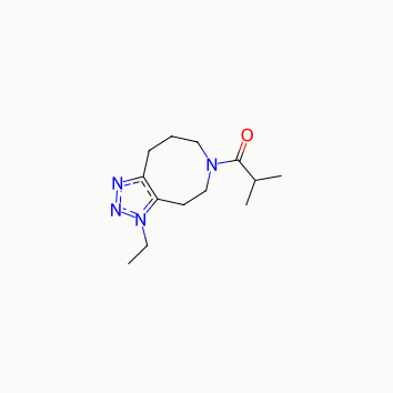 CCn1nnc2c1CCN(C(=O)C(C)C)CCC2